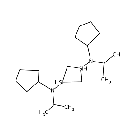 CC(C)N(C1CCCC1)[SiH]1C[SiH](N(C(C)C)C2CCCC2)C1